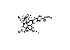 CCOCc1nc2c(N)nc3cc(OC4CCN(C(=O)OC(C)(C)C)CC4)ccc3c2n1CC1COC(C)(C)O1